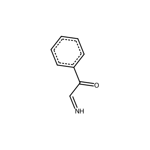 N=CC(=O)c1ccccc1